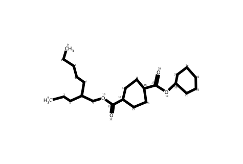 CCCCCC(CCC)COC(=O)C1CCC(C(=O)OC2CCCCC2)CC1